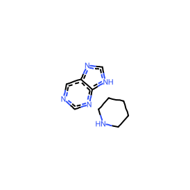 C1CCNCC1.c1ncc2nc[nH]c2n1